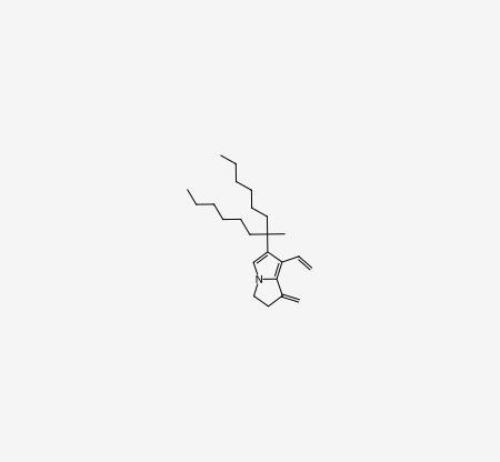 C=Cc1c(C(C)(CCCCCC)CCCCCC)cn2c1C(=C)CC2